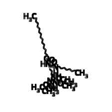 CCCCCCCCCCCCCCCCOC(=O)N[C@@H](CCCNC(=NC(=O)OC(C)(C)C)NC(=O)OC(C)(C)C)C(=O)NCCCCCCCC